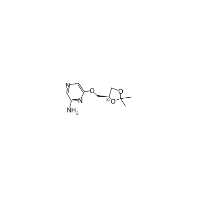 CC1(C)OC[C@H](COc2cncc(N)n2)O1